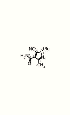 Cc1nn(C(C)(C)C)c(C#N)c1C(N)=O